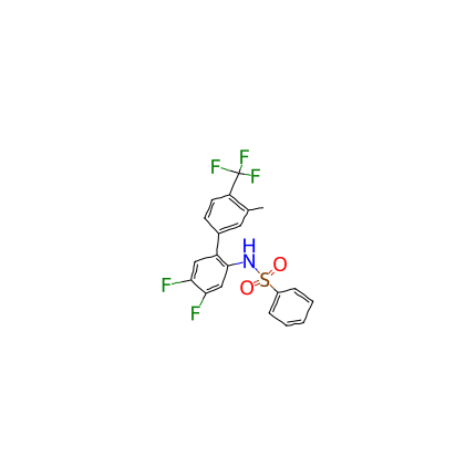 Cc1cc(-c2cc(F)c(F)cc2NS(=O)(=O)c2ccccc2)ccc1C(F)(F)F